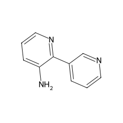 Nc1cccnc1-c1cccnc1